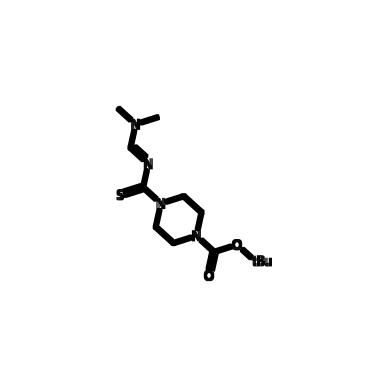 CN(C)C=NC(=S)N1CCN(C(=O)OC(C)(C)C)CC1